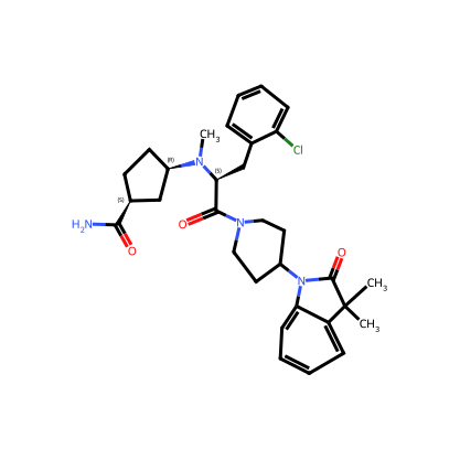 CN([C@@H]1CC[C@H](C(N)=O)C1)[C@@H](Cc1ccccc1Cl)C(=O)N1CCC(N2C(=O)C(C)(C)c3ccccc32)CC1